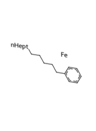 CCCCCCCCCCCCc1ccccc1.[Fe]